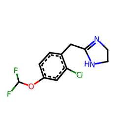 FC(F)Oc1ccc(CC2=NCCN2)c(Cl)c1